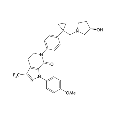 COc1ccc(-n2nc(C(F)(F)F)c3c2C(=O)N(c2ccc(C4(CN5CC[C@@H](O)C5)CC4)cc2)CC3)cc1